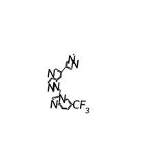 Cn1cc(-c2cnc3cnn(Cc4cnc5ccc(C(F)(F)F)cn45)c3c2)cn1